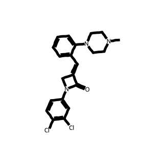 CN1CCN(c2ccccc2C=C2CN(c3ccc(Cl)c(Cl)c3)C2=O)CC1